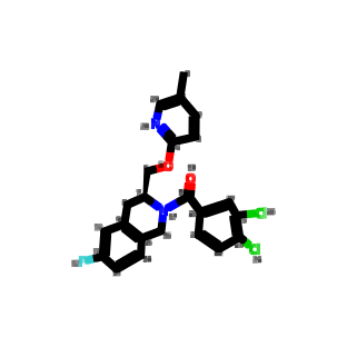 Cc1ccc(OC[C@@H]2Cc3cc(F)ccc3CN2C(=O)c2ccc(Cl)c(Cl)c2)nc1